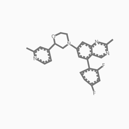 Cc1cc(C2CN(c3cc(-c4ccc(F)cc4F)c4cnc(C)nc4c3)CCO2)ccn1